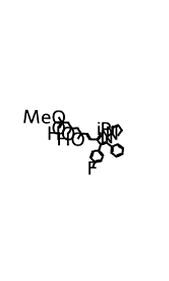 COC(=O)CC(O)CC(O)/C=C/c1c(-c2ccc(F)cc2)c(-c2ccccc2)n(N2CCCC2)c1C(C)C